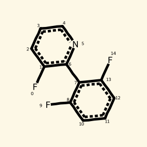 Fc1cccnc1-c1c(F)cccc1F